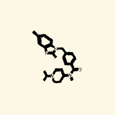 Cc1ccc2c(c1)nc(C)n2Cc1ccc(C(=O)N(C)C2CCN(C(C)C)CC2)cc1